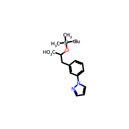 CC(C)(C)[Si](C)(C)OC(Cc1cccc(-n2cccn2)c1)C(=O)O